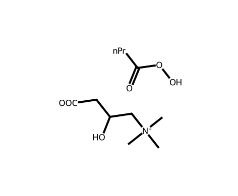 CCCC(=O)OO.C[N+](C)(C)CC(O)CC(=O)[O-]